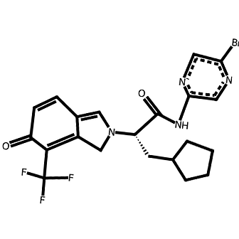 O=C1C=CC2=CN([C@@H](CC3CCCC3)C(=O)Nc3cnc(Br)cn3)CC2=C1C(F)(F)F